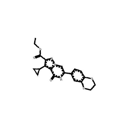 CCOC(=O)c1nn2cc(-c3ccc4c(c3)OCCO4)[nH]c(=O)c2c1C1CC1